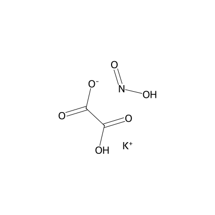 O=C([O-])C(=O)O.O=NO.[K+]